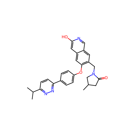 CC1CC(=O)N(Cc2cc3cnc(O)cc3cc2Oc2ccc(-c3ccc(C(C)C)nn3)cc2)C1